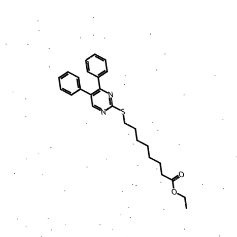 CCOC(=O)CCCCCCCSc1ncc(-c2ccccc2)c(-c2ccccc2)n1